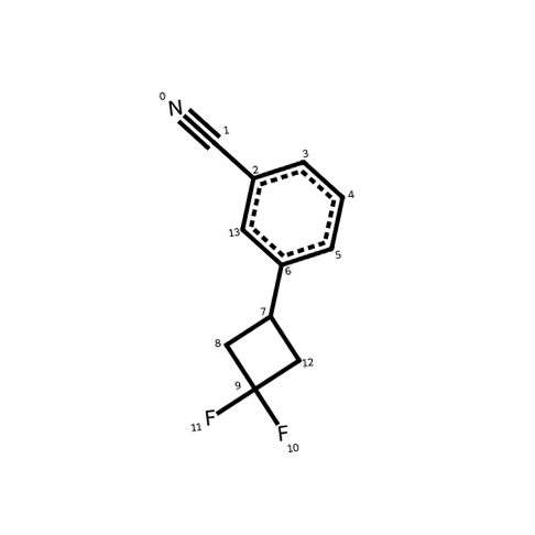 N#Cc1cccc(C2CC(F)(F)C2)c1